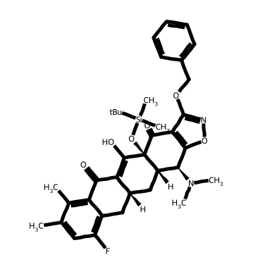 Cc1cc(F)c2c(c1C)C(=O)C1=C(O)[C@]3(O[Si](C)(C)C(C)(C)C)C(=O)c4c(OCc5ccccc5)noc4[C@@H](N(C)C)[C@@H]3C[C@@H]1C2